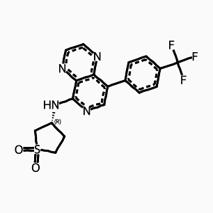 O=S1(=O)CC[C@@H](Nc2ncc(-c3ccc(C(F)(F)F)cc3)c3nccnc23)C1